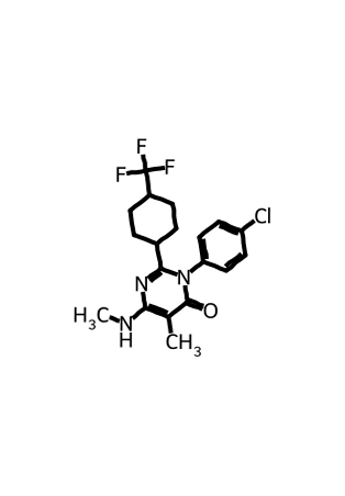 CNc1nc(C2CCC(C(F)(F)F)CC2)n(-c2ccc(Cl)cc2)c(=O)c1C